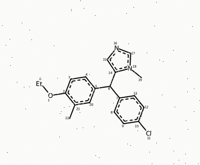 CCOc1ccc(C(c2ccc(Cl)cc2)c2cncn2C)cc1C